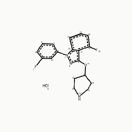 Cl.Fc1cccc(-n2nc(OC3CCNCC3)c3c(F)cccc32)c1